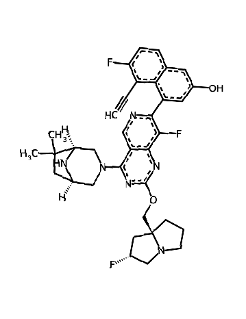 C#Cc1c(F)ccc2cc(O)cc(-c3ncc4c(N5C[C@H]6CC(C)(C)[C@@H](C5)N6)nc(OC[C@@]56CCCN5C[C@H](F)C6)nc4c3F)c12